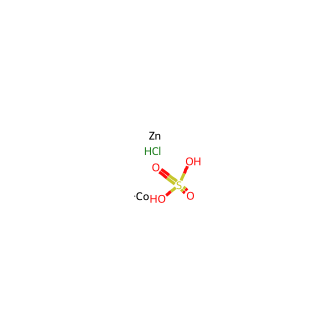 Cl.O=S(=O)(O)O.[Co].[Zn]